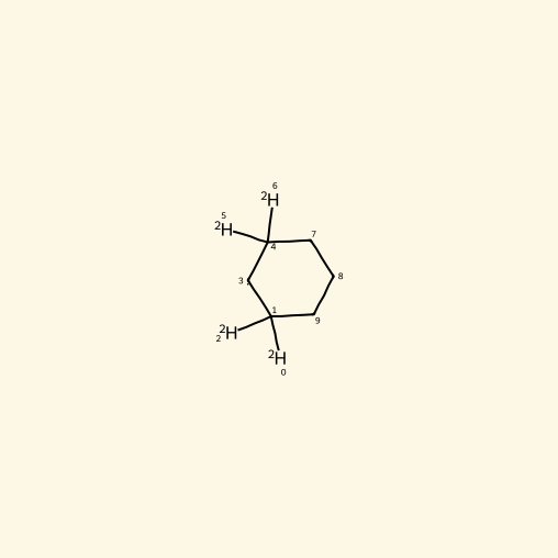 [2H]C1([2H])[CH]C([2H])([2H])CCC1